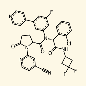 N#Cc1ccnc(N2C(=O)CC[C@H]2C(=O)N(c2cc(F)cc(-c3ccncc3)c2)[C@@H](C(=O)NC2CC(F)(F)C2)c2ccccc2Cl)c1